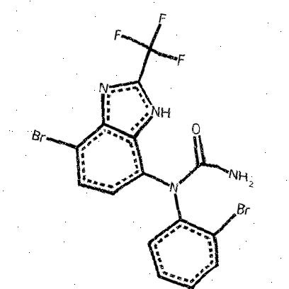 NC(=O)N(c1ccccc1Br)c1ccc(Br)c2nc(C(F)(F)F)[nH]c12